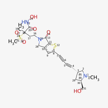 CN1C[C@@H](C#CC#Cc2cc3c(s2)C(=O)N(CCC(C)(C(=O)NO)S(C)(=O)=O)C3)C[C@@H]1CO